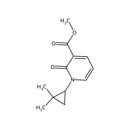 COC(=O)c1cccn(C2CC2(C)C)c1=O